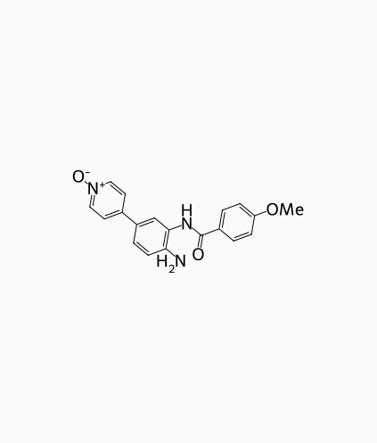 COc1ccc(C(=O)Nc2cc(-c3cc[n+]([O-])cc3)ccc2N)cc1